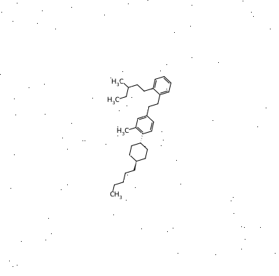 CCCCC[C@H]1CC[C@H](c2ccc(CCc3ccccc3CCC(C)CC)cc2C)CC1